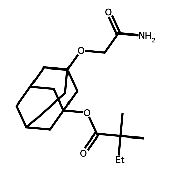 CCC(C)(C)C(=O)OC12CC3CC(CC(OCC(N)=O)(C3)C1)C2